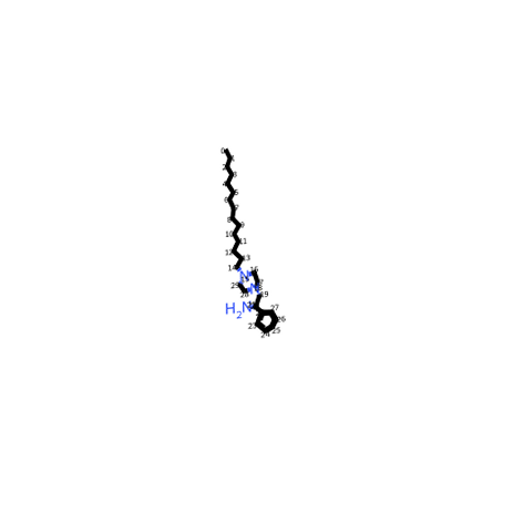 CCCCCCCCCCCCCCCN1CCN(CC(N)c2ccccc2)CC1